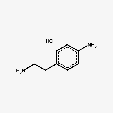 Cl.NCCc1ccc(N)cc1